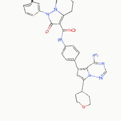 Nc1ncnn2c(C3CCOCC3)cc(-c3ccc(NC(=O)c4c5n(n(-c6ccccc6)c4=O)CCCC5)cc3)c12